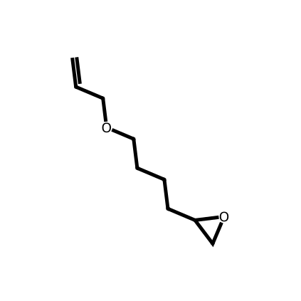 C=CCOCCCCC1CO1